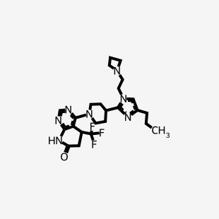 CCCc1cn(CCN2CCC2)c(C2CCN(c3ncnc4c3C(C(F)(F)F)CC(=O)N4)CC2)n1